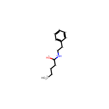 O=C(O)CCCC(O)NCCc1ccccc1